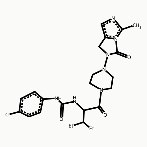 CCC(CC)C(NC(=O)Nc1ccc(Cl)cc1)C(=O)N1CCN(N2Cc3cnc(C)n3C2=O)CC1